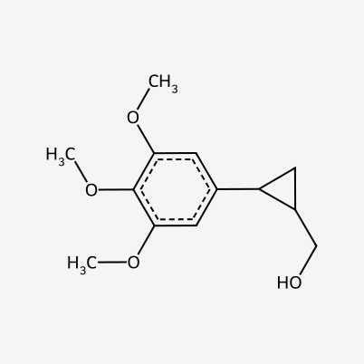 COc1cc(C2CC2CO)cc(OC)c1OC